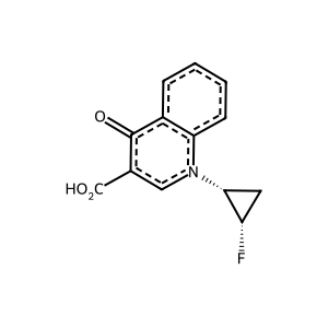 O=C(O)c1cn([C@@H]2C[C@@H]2F)c2ccccc2c1=O